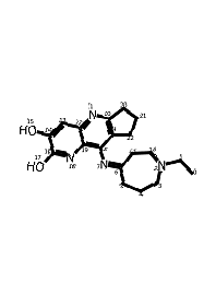 CCN1CCC/C(=N/c2c3c(nc4cc(O)c(O)nc24)CCC3)CC1